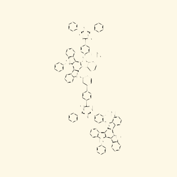 N#Cc1cc(-c2nc(-c3ccccc3)nc(-c3ccccc3)n2)ccc1N1c2c(c3c(c4ccccc4n3C3C=C(c4ccc(-c5nc(-c6ccccc6)nc(-c6ccc(-n7c8ccccc8c8c9oc%10ccccc%10c9c9c(c%10ccccc%10n9-c9ccccc9)c87)c(C#N)c6)n5)cc4)C=CC3)c3c2c2ccccc2n3-c2ccccc2)C2=CC=CCC21